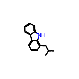 CC(C)Cc1cccc2c1[nH]c1ccccc12